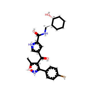 Cc1onc(-c2ccc(Br)cc2)c1C(=O)c1c[nH]c(C(=O)NC[C@H]2CCCC[C@H]2O)c1